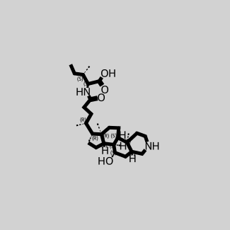 CC[C@H](C)[C@H](NC(=O)CC[C@@H](C)[C@H]1CC[C@H]2[C@@H]3[C@@H](O)C[C@@H]4CNCC[C@]4(C)[C@H]3CC[C@]12C)C(=O)O